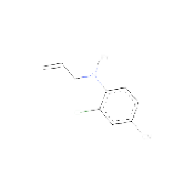 C=CCN(c1ccc(C#N)cc1Cl)C(C)C